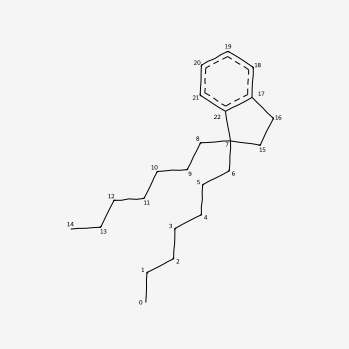 CCCCCCCC1(CCCCCCC)CCc2ccccc21